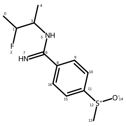 CC(F)C(C)NC(=N)c1ccc([S+](C)[O-])cc1